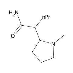 CCCC(C(N)=O)C1CCCN1C